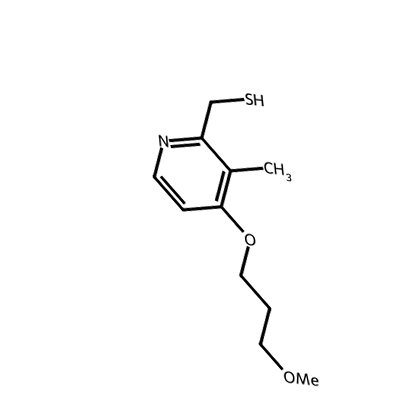 COCCCOc1ccnc(CS)c1C